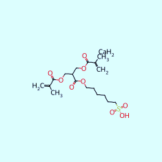 C=C(C)C(=O)OCC(COC(=O)C(=C)C)C(=O)OCCCCCCS(=O)(=O)O.[CaH2]